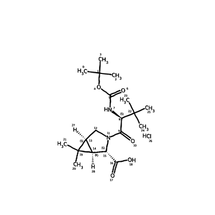 CC(C)(C)OC(=O)N[C@H](C(=O)N1C[C@H]2[C@@H]([C@H]1C(=O)O)C2(C)C)C(C)(C)C.Cl